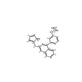 Cl.Cl.Clc1cccc(-c2cc(Cc3ncc[nH]3)cc3cccnc23)c1